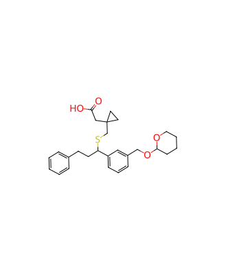 O=C(O)CC1(CSC(CCc2ccccc2)c2cccc(COC3CCCCO3)c2)CC1